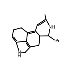 CC1=CC2=C3CCC=C4NCC(=C43)CC2C(C(C)C)N1